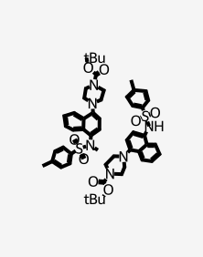 Cc1ccc(S(=O)(=O)N(C)c2ccc(N3CCN(C(=O)OC(C)(C)C)CC3)c3ccccc23)cc1.Cc1ccc(S(=O)(=O)Nc2ccc(N3CCN(C(=O)OC(C)(C)C)CC3)c3ccccc23)cc1